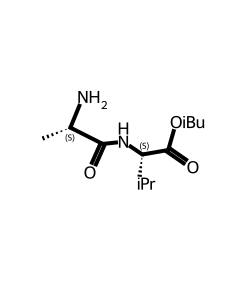 CC(C)COC(=O)[C@@H](NC(=O)[C@H](C)N)C(C)C